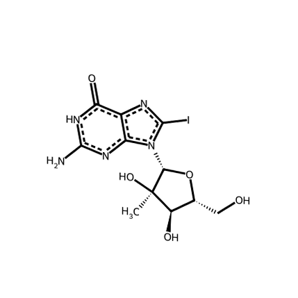 C[C@@]1(O)[C@H](O)[C@@H](CO)O[C@H]1n1c(I)nc2c(=O)[nH]c(N)nc21